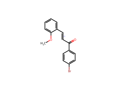 COc1ccccc1/C=C/C(=O)c1ccc(Br)cc1